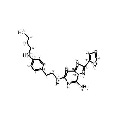 Nc1nc(NCCc2ccc(NCCCO)cc2)nc2nc(-c3ccco3)nn12